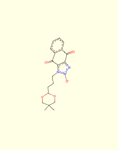 CC1(C)COC(CCCn2c3c(n[n+]2[O-])C(=O)c2ccccc2C3=O)OC1